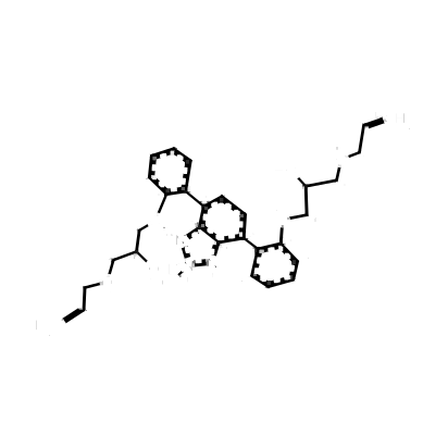 C=CCOCC(O)COc1ccccc1-c1ccc(-c2ccccc2OCC(O)COCC=C)c2nn(CCCCCCCC)nc12